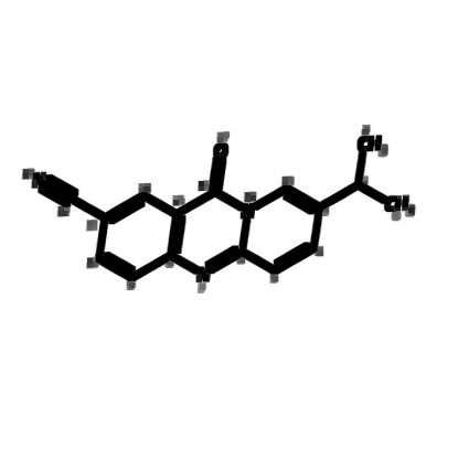 CC(C)c1ccc2nc3ccc(C#N)cc3c(=O)n2c1